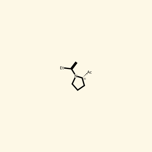 C=C(CC)N1CCC[C@H]1C(C)=O